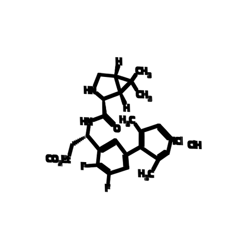 CCOC(=O)C[C@H](NC(=O)[C@H]1NC[C@H]2[C@@H]1C2(C)C)c1cc(-c2c(C)cccc2C)cc(F)c1F.Cl.Cl